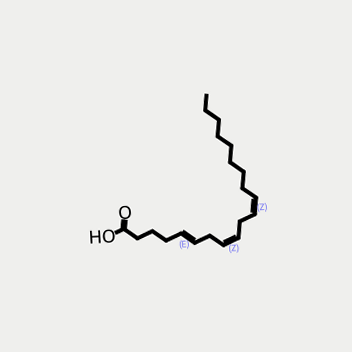 CCCCCCCC/C=C\C/C=C\C/C=C/CCCC(=O)O